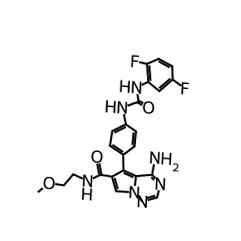 COCCNC(=O)c1cn2ncnc(N)c2c1-c1ccc(NC(=O)Nc2cc(F)ccc2F)cc1